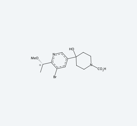 CO[C@@H](C)c1ncc(C2(O)CCN(C(=O)O)CC2)cc1Br